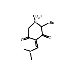 CN(C)C=C1C(=O)CN(C(=O)O)C(C(C)(C)C)C1=O